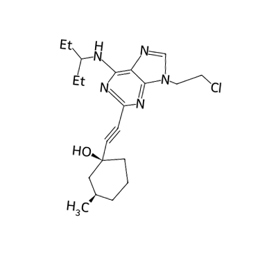 CCC(CC)Nc1nc(C#C[C@]2(O)CCC[C@@H](C)C2)nc2c1ncn2CCCl